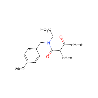 CCCCCCCC(=O)C(CCCCCC)C(=O)N(CC(=O)O)Cc1ccc(OC)cc1